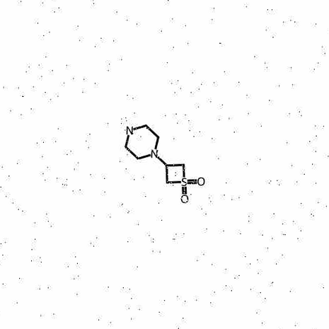 O=S1(=O)CC(N2CC[N]CC2)C1